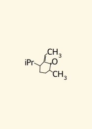 C/C=C1\C(=O)C(C)CCC1C(C)C